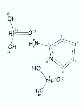 Nc1ccccn1.O=[PH](O)O.O=[PH](O)O